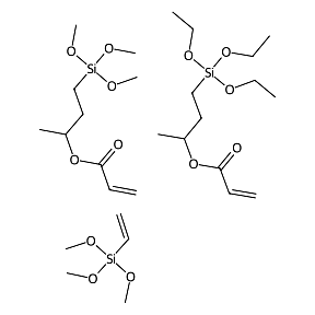 C=CC(=O)OC(C)CC[Si](OC)(OC)OC.C=CC(=O)OC(C)CC[Si](OCC)(OCC)OCC.C=C[Si](OC)(OC)OC